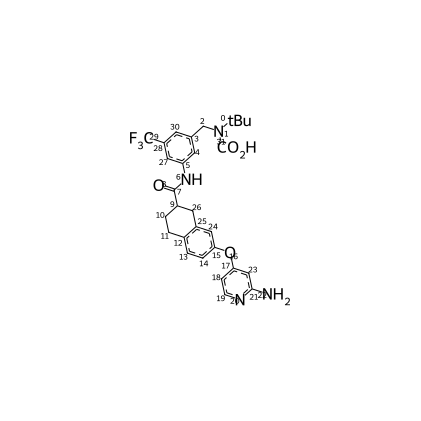 CC(C)(C)N(Cc1cc(NC(=O)C2CCc3ccc(Oc4ccnc(N)c4)cc3C2)cc(C(F)(F)F)c1)C(=O)O